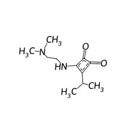 CC(C)c1c(NCCN(C)C)c(=O)c1=O